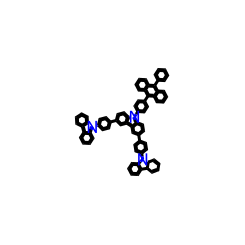 C1=CC2c3ccccc3N(c3ccc(-c4ccc5c(c4)c4cc(-c6ccc(-n7c8ccccc8c8ccccc87)cc6)ccc4n5-c4ccc(-c5c6ccccc6c(-c6ccccc6)c6ccccc56)cc4)cc3)C2C=C1